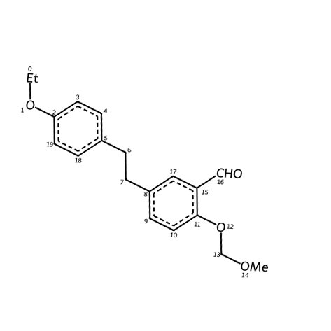 CCOc1ccc(CCc2ccc(OCOC)c(C=O)c2)cc1